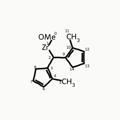 C[O][Zr][CH](C1=C(C)C=CC1)C1=C(C)C=CC1